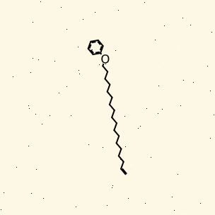 C=CCCCCCCCCCCCCCCCCOc1ccccc1